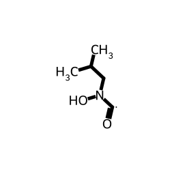 CC(C)CN(O)[C]=O